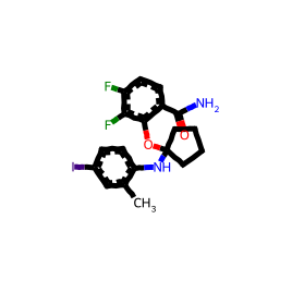 Cc1cc(I)ccc1NC1(Oc2c(C(N)=O)ccc(F)c2F)CCCC1